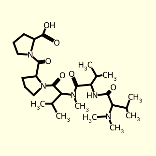 CC(C)C(NC(=O)C(C(C)C)N(C)C)C(=O)N(C)C(C(=O)N1CCCC1C(=O)N1CCCC1C(=O)O)C(C)C